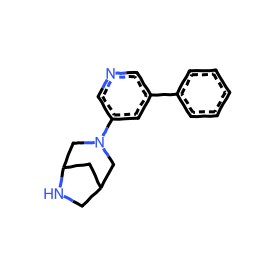 c1ccc(-c2cncc(N3CC4CNC(C4)C3)c2)cc1